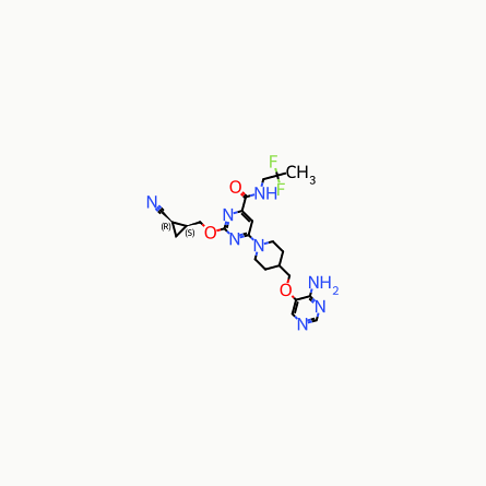 CC(F)(F)CNC(=O)c1cc(N2CCC(COc3cncnc3N)CC2)nc(OC[C@H]2C[C@H]2C#N)n1